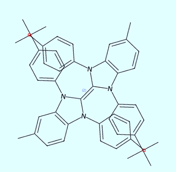 Cc1ccc(N2/C(=C3\N(c4ccc(C(C)(C)C)cc4)c4ccc(C)cc4N3c3ccc(C)cc3)N(c3ccc(C(C)(C)C)cc3)c3cc(C)ccc32)cc1